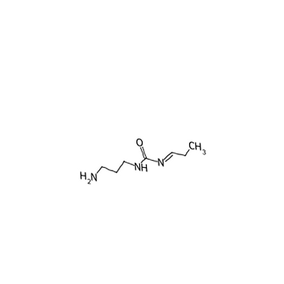 CCC=NC(=O)NCCCN